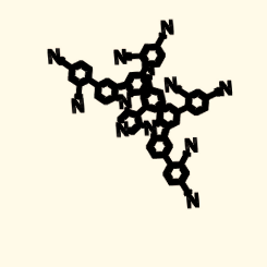 N#Cc1cccc(-c2c(-n3c4ccc(-c5ccc(C#N)cc5C#N)cc4c4cc(-c5ccc(C#N)cc5C#N)ccc43)cncc2-n2c3ccc(-c4ccc(C#N)cc4C#N)cc3c3cc(-c4ccc(C#N)cc4C#N)ccc32)c1